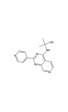 CC(C)(C#N)Nc1nc(-c2ccncc2)nc2cnccc12